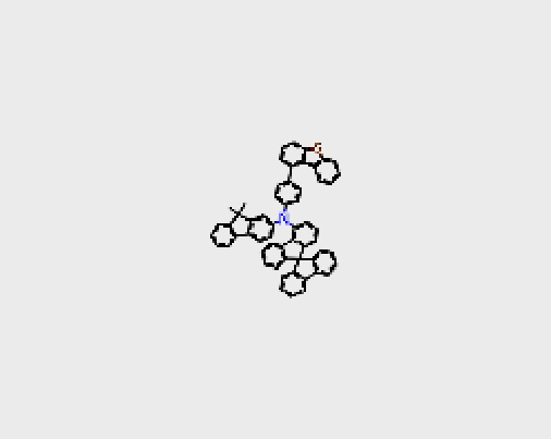 CC1(C)c2ccccc2-c2ccc(N(c3ccc(-c4cccc5sc6ccccc6c45)cc3)c3cccc4c3-c3ccccc3C43c4ccccc4-c4ccccc43)cc21